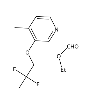 CCOC=O.Cc1ccncc1OCC(C)(F)F